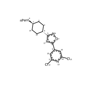 CCCCC[C@H]1CC[C@H](c2noc(-c3cc(Cl)nc(Cl)c3)n2)CC1